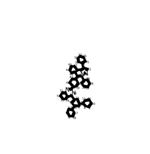 c1ccc(-c2cc(-c3ccccc3)cc(-c3nc(-c4ccc(-c5c(-c6ccccc6)n6ncc(-c7ccccc7)c6c6ccccc56)cc4)nc4ccccc34)c2)cc1